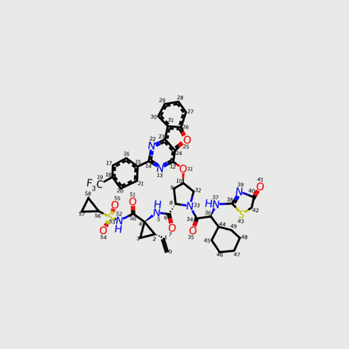 C=C[C@@H]1C[C@]1(NC(=O)[C@@H]1C[C@@H](Oc2nc(-c3ccc(C(F)(F)F)cc3)nc3c2oc2ccccc23)CN1C(=O)[C@@H](NC1=NC(=O)CS1)C1CCCCC1)C(=O)NS(=O)(=O)C1CC1